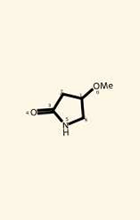 COC1[CH]C(=O)NC1